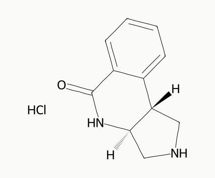 Cl.O=C1N[C@@H]2CNC[C@H]2c2ccccc21